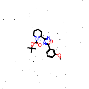 COc1cccc(-c2nc(C3CCCCN3C(=O)OC(C)(C)C)no2)c1